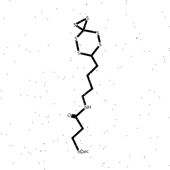 CCCCCCCCCCCCC(=O)NCCCCC1SSC2(SS1)SS2